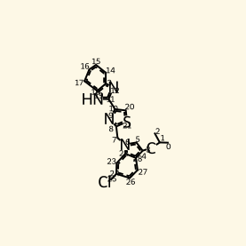 CC(C)Cc1cn(Cc2nc(-c3nc4ccccc4[nH]3)cs2)c2cc(Cl)ccc12